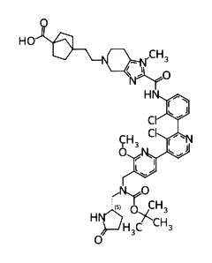 COc1nc(-c2ccnc(-c3cccc(NC(=O)c4nc5c(n4C)CCN(CCC46CCC(C(=O)O)(CC4)C6)C5)c3Cl)c2Cl)ccc1CN(C[C@@H]1CCC(=O)N1)C(=O)OC(C)(C)C